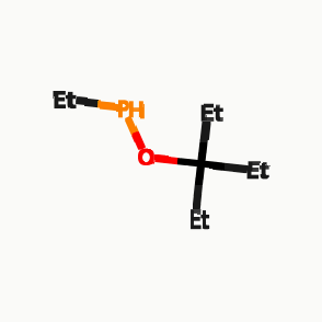 CCPOC(CC)(CC)CC